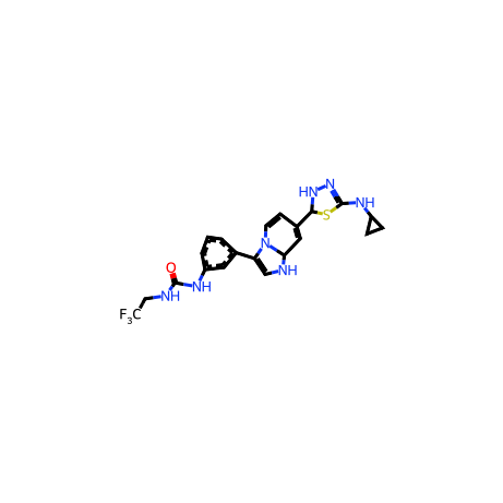 O=C(NCC(F)(F)F)Nc1cccc(C2=CNC3C=C(C4NN=C(NC5CC5)S4)C=CN23)c1